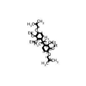 C=C(C)COc1ccc(C(C)(C)c2ccc(OCC(=C)C)c(OCC)c2OCC)c(OCC)c1OCC